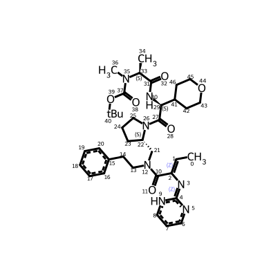 C/C=C(\N=c1\nccc[nH]1)C(=O)N(CCc1ccccc1)C[C@@H]1CCCN1C(=O)[C@@H](NC(=O)[C@H](C)N(C)C(=O)OC(C)(C)C)C1CCOCC1